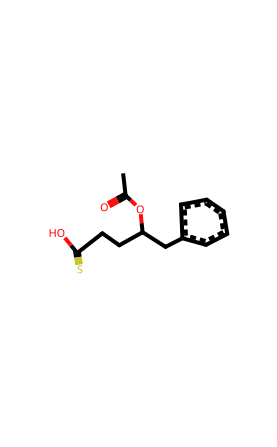 CC(=O)OC(CCC(O)=S)Cc1ccccc1